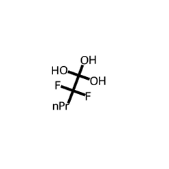 CCCC(F)(F)C(O)(O)O